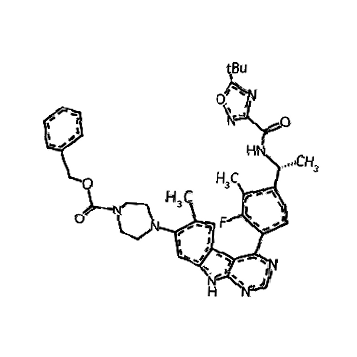 Cc1cc2c(cc1N1CCN(C(=O)OCc3ccccc3)CC1)[nH]c1ncnc(-c3ccc([C@@H](C)NC(=O)c4noc(C(C)(C)C)n4)c(C)c3F)c12